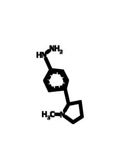 CN1CCCC1c1ccc(NN)cc1